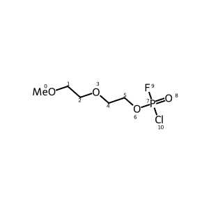 COCCOCCOP(=O)(F)Cl